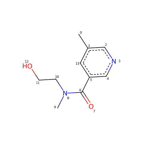 Cc1cncc(C(=O)N(C)CCO)c1